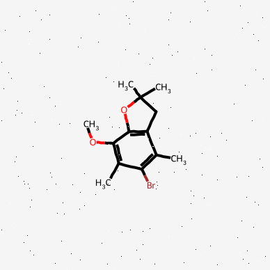 COc1c(C)c(Br)c(C)c2c1OC(C)(C)C2